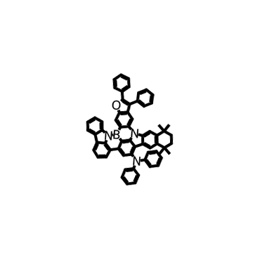 CC1(C)CCC(C)(C)c2cc3c(cc21)c1c(N(c2ccccc2)c2ccccc2)cc2c4c1n3-c1cc3c(-c5ccccc5)c(-c5ccccc5)oc3cc1B4n1c3ccccc3c3cccc-2c31